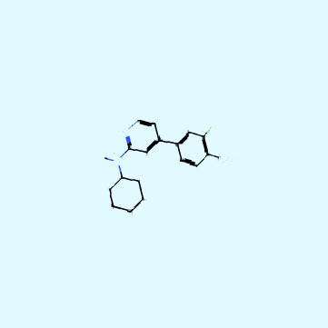 COc1ccc(-c2ccnc(N(C)C3CCCCC3)c2)cc1F